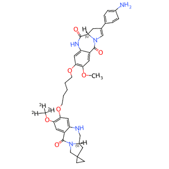 [2H]C([2H])([2H])Oc1cc2c(cc1OCCCCCOc1cc3c(cc1OC)C(=O)N1C=C(c4ccc(N)cc4)C[C@H]1C(=O)N3)NC[C@@H]1CC3(CC3)CN1C2=O